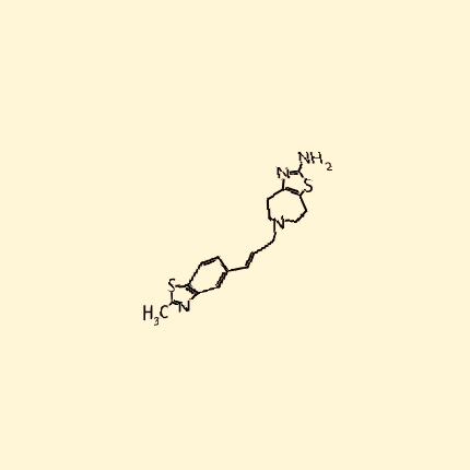 Cc1nc2cc(C=CCN3CCc4nc(N)sc4CC3)ccc2s1